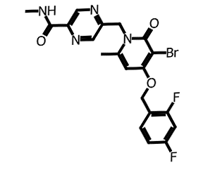 CNC(=O)c1cnc(Cn2c(C)cc(OCc3ccc(F)cc3F)c(Br)c2=O)cn1